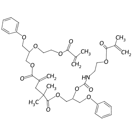 C=C(C)C(=O)OCCNC(=O)OC(COC(=O)C(C)(C)CC(=C)C(=O)OCC(COc1ccccc1)OCCOC(=O)C(=C)C)COc1ccccc1